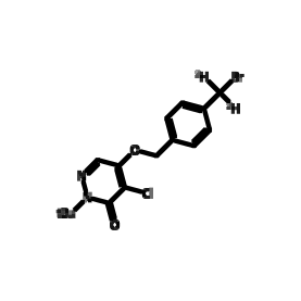 [2H]C([2H])(Br)c1ccc(COc2cnn(C(C)(C)C)c(=O)c2Cl)cc1